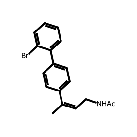 CC(=O)NC/C=C(/C)c1ccc(-c2ccccc2Br)cc1